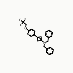 FC(F)(F)COc1ccc(C23CC(N(Cc4ccccc4)Cc4ccccc4)(C2)C3)cn1